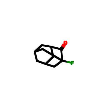 O=C1C2CC3CC(C2)CC1(F)C3